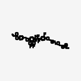 C=CC(=O)OCCOCCOCCOc1ccc(C(F)(F)C(F)(F)c2ccc(OCc3ccc(OC(=O)C=C)cc3)c3c2OC(F)(F)O3)cc1F